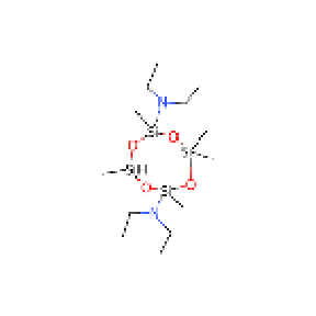 CCN(CC)[Si]1(C)O[SiH](C)O[Si](C)(N(CC)CC)O[Si](C)(C)O1